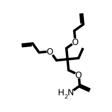 C=CCOCC(CC)(COCC=C)COC(=C)N